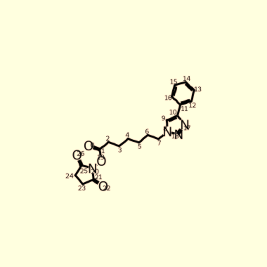 O=C(CCCCCCn1cc(-c2ccccc2)nn1)ON1C(=O)CCC1=O